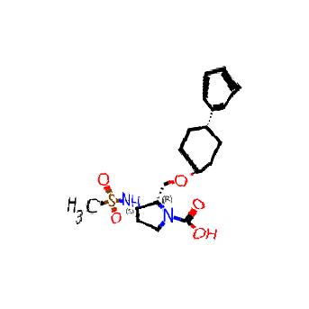 CS(=O)(=O)N[C@H]1CCN(C(=O)O)[C@H]1CO[C@H]1CC[C@@H](c2ccccc2)CC1